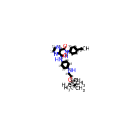 C#Cc1ccc(NC(=O)c2nccnc2C(=O)Nc2ccc(NCCO[Si](C)(C)C(C)(C)C)cc2)cc1